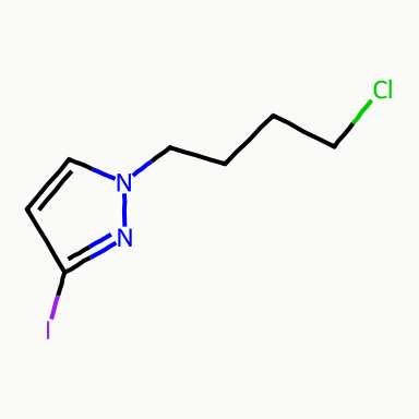 ClCCCCn1ccc(I)n1